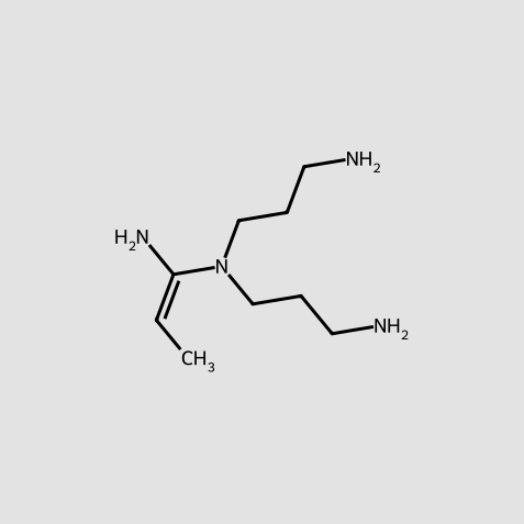 CC=C(N)N(CCCN)CCCN